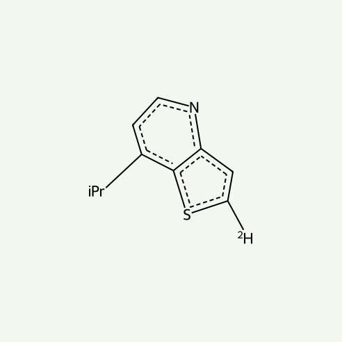 [2H]c1cc2nccc(C(C)C)c2s1